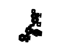 Cl.O.O.O.O=C1Cc2cc(CCN3CCN(c4nsc5ccccc45)CC3)c(Cl)cc2N1